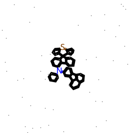 c1ccc(N(c2ccc3c(c2)-c2cccc4cccc-3c24)c2cccc3c2-c2ccccc2C32c3ccccc3Sc3ccccc32)cc1